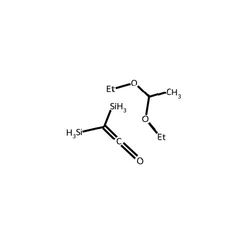 CCOC(C)OCC.O=C=C([SiH3])[SiH3]